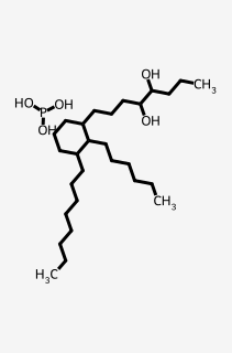 CCCCCCCCC1CCCC(CCCC(O)C(O)CCC)C1CCCCCC.OP(O)O